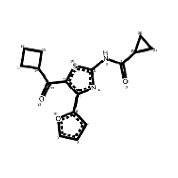 O=C(Nc1nc(-c2ccco2)c(C(=O)C2CCC2)s1)C1CC1